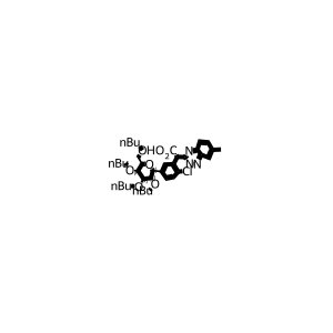 CCCCOC[C@H]1O[C@@H](c2ccc(Cl)c(C(C(=O)O)c3nnc4cc(C)ccc4n3)c2)[C@H](OCCCC)[C@@H](OCCCC)[C@@H]1OCCCC